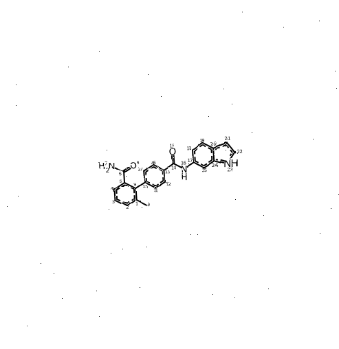 Cc1cc[c]c(C(N)=O)c1-c1ccc(C(=O)Nc2ccc3cc[nH]c3c2)cc1